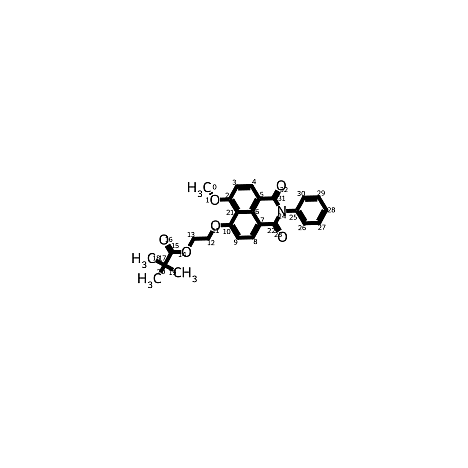 COc1ccc2c3c(ccc(OCCOC(=O)C(C)(C)C)c13)C(=O)N(c1ccccc1)C2=O